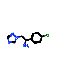 NC(Cn1cncn1)c1ccc(Cl)cc1